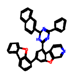 c1ccc(C2=NC(c3ccc4ccccc4c3)NC(c3cc(-c4cccc5c4oc4ccccc45)cc4oc5cnccc5c34)=N2)cc1